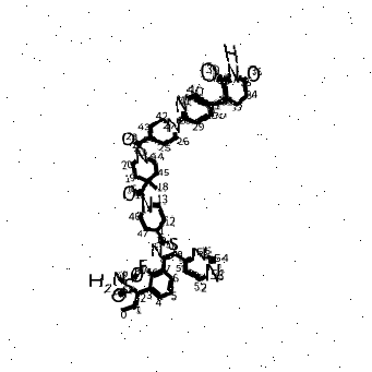 CCC(c1cccc(-c2nc(C3CCN(C(=O)C4(C)CCN(C(=O)C5CCN(c6ccc(C7CCC(=O)NC7=O)cn6)CC5)CC4)CC3)sc2-c2ccncn2)c1F)S(N)(=O)=O